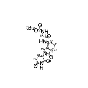 CC(C)(C)OC(=O)NCC(=O)Nc1cccc2c1CN(C1CCC(=O)NC1=O)C2=O